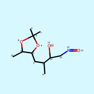 CC(CC1OC(C)(C)OC1C)C(O)CN=O